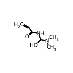 C=CC(=O)NC(O)N(C)C